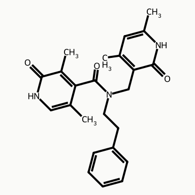 Cc1cc(C)c(CN(CCc2ccccc2)C(=O)c2c(C)c[nH]c(=O)c2C)c(=O)[nH]1